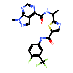 CC(NC(=O)c1ncnc2c1cnn2C)c1ncc(C(=O)Nc2ccc(F)c(C(F)(F)F)c2)s1